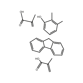 C=C(C)C(=O)O.C=C(C)C(=O)O.Cc1cccc(O)c1C.c1ccc2c(c1)Cc1ccccc1-2